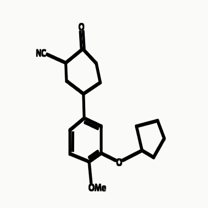 COc1ccc(C2CCC(=O)C(C#N)C2)cc1OC1CCCC1